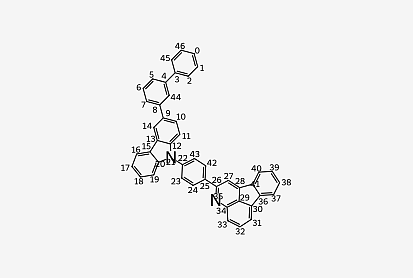 c1ccc(-c2cccc(-c3ccc4c(c3)c3ccccc3n4-c3ccc(-c4cc5c6c(cccc6n4)-c4ccccc4-5)cc3)c2)cc1